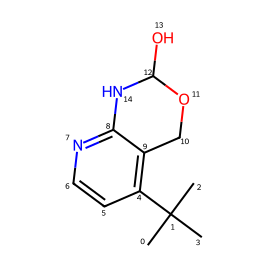 CC(C)(C)c1ccnc2c1COC(O)N2